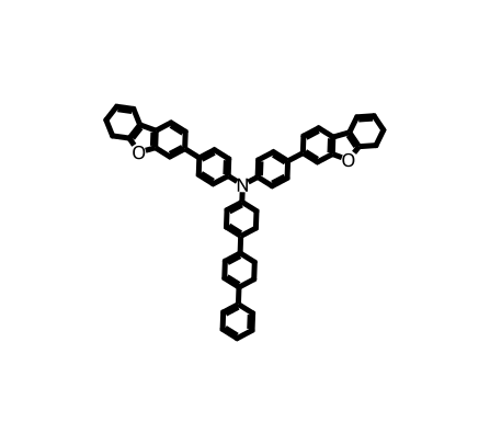 C1=Cc2c(oc3cc(-c4ccc(N(C5=CC=C(C6=CC=C(c7ccccc7)CC6)CC5)c5ccc(-c6ccc7c8c(oc7c6)CCC=C8)cc5)cc4)ccc23)CC1